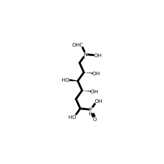 O=CN(O)C[C@H](O)[C@H](O)[C@H](O)CC(O)[PH](=O)O